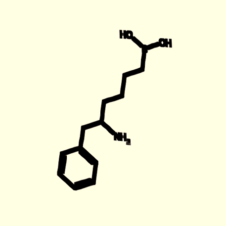 NC(CCCCB(O)O)Cc1ccccc1